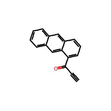 C#CC(=O)c1cccc2cc3ccccc3cc12